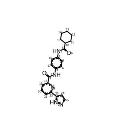 O=C(Nc1ccc(NC(=O)C2CCCCC2)cc1)c1cccc(-c2ccn[nH]2)n1